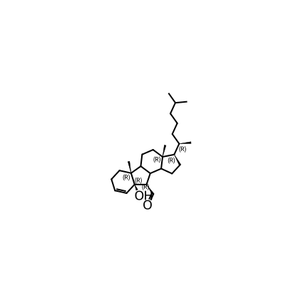 CC(C)CCC[C@@H](C)[C@H]1CCC2C3C(CC[C@@]21C)[C@@]1(C)CCC=C[C@@]1(O)[C@@H]3C=O